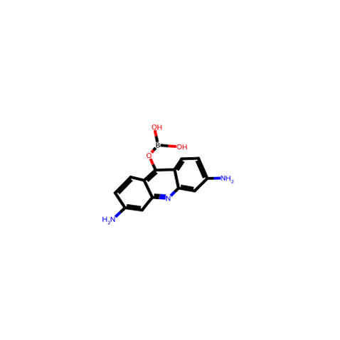 Nc1ccc2c(OB(O)O)c3ccc(N)cc3nc2c1